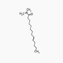 CCCC/C=C/CCCCCCCC(=O)N(C)C